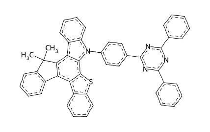 CC1(C)c2ccccc2-c2c1c1c3ccccc3n(-c3ccc(-c4nc(-c5ccccc5)nc(-c5ccccc5)n4)cc3)c1c1sc3ccccc3c21